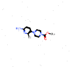 CCc1nc(N)ccc1N1CCN(C(=O)OC(C)(C)C)CC1